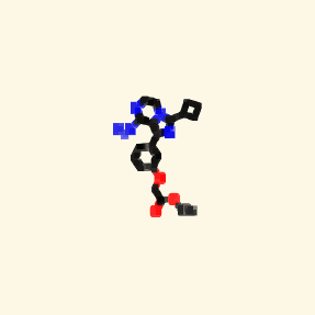 CC(C)(C)OC(=O)COc1cccc(-c2nc(C3CCC3)n3ccnc(N)c23)c1